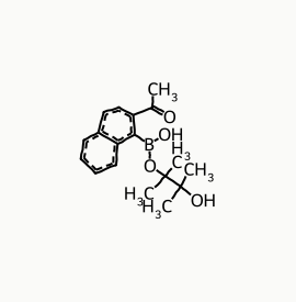 CC(=O)c1ccc2ccccc2c1B(O)OC(C)(C)C(C)(C)O